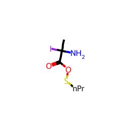 CCCSOC(=O)C(C)(N)I